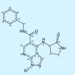 CCn1ncc2c(NC3CCNC3=O)c(C(=O)NCc3ccccc3)cnc21